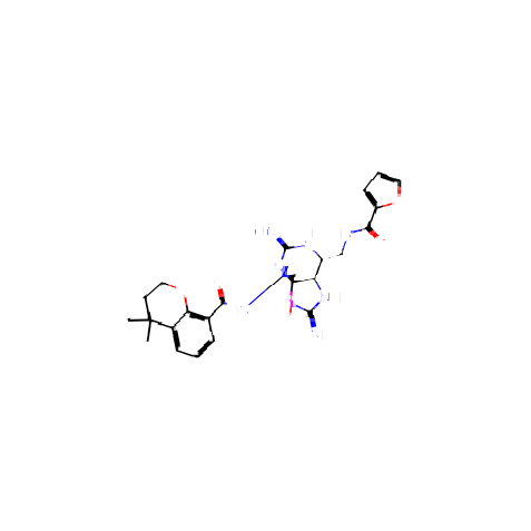 CC1(C)CCOc2c(C(=O)NC3CN4C(=N)N[C@@H](CNC(=O)c5ccco5)C5NC(=N)NC54[C@@H]3O)cccc21